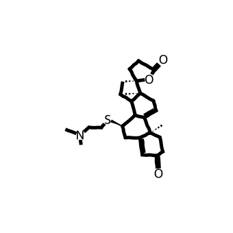 CN(C)CCS[C@@H]1CC2=CC(=O)CC[C@]2(C)C2=CC[C@@]3(C)C(CC[C@@]34CCC(=O)O4)C21